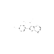 CC(C)c1c(-c2ccc(Cl)cc2)[nH]c2nccnc12